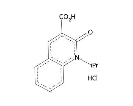 CC(C)n1c(=O)c(C(=O)O)cc2ccccc21.Cl